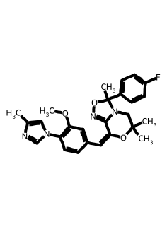 COc1cc(/C=C2/OC(C)(C)CN3C2=NOC3(C)c2ccc(F)cc2)ccc1-n1cnc(C)c1